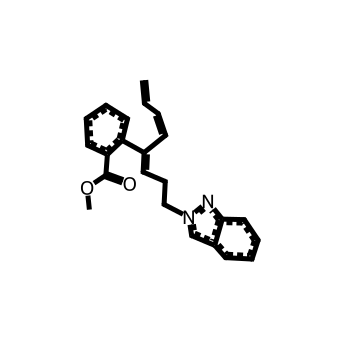 C=C/C=C\C(=C/CCn1cc2ccccc2n1)c1ccccc1C(=O)OC